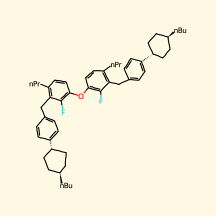 CCCC[C@H]1CC[C@H](c2ccc(Cc3c(CCC)ccc(Oc4ccc(CCC)c(Cc5ccc([C@H]6CC[C@H](CCCC)CC6)cc5)c4F)c3F)cc2)CC1